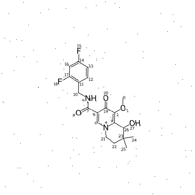 COc1c2n(cc(C(=O)NCc3ccc(F)cc3F)c1=O)CCC(C)(C)C2O